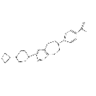 CC(=O)c1ccc(N2CCc3cnc(N4CCN(C5CCC5)CC4)nc3CC2)cc1